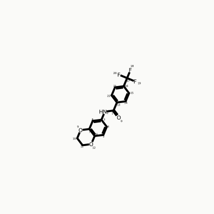 O=C(Nc1ccc2c(c1)OCCO2)c1ccc(C(F)(F)F)cc1